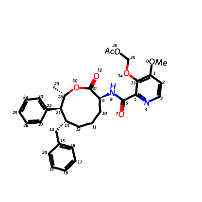 COc1ccnc(C(=O)N[C@H]2CCC[C@H](Cc3ccccc3)[C@@H](c3ccccc3)[C@H](C)OC2=O)c1OCOC(C)=O